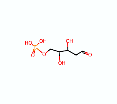 O=CCC(O)C(O)COP(=O)(O)O